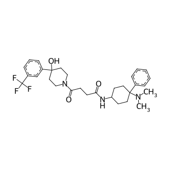 CN(C)C1(c2ccccc2)CCC(NC(=O)CCC(=O)N2CCC(O)(c3cccc(C(F)(F)F)c3)CC2)CC1